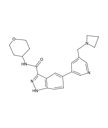 O=C(NC1CCOCC1)c1n[nH]c2ccc(-c3cncc(CN4CCC4)c3)cc12